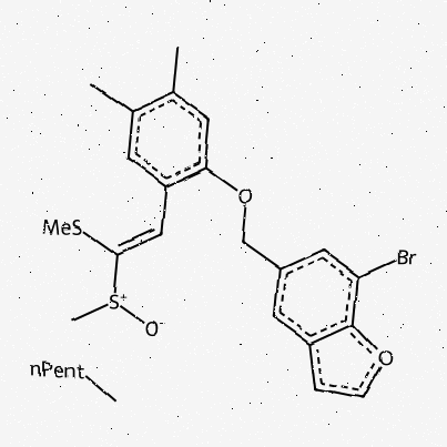 CCCCCC.CS/C(=C\c1cc(C)c(C)cc1OCc1cc(Br)c2occc2c1)[S+](C)[O-]